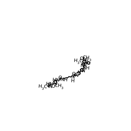 CC(=O)c1c(C)c2cnc(Nc3ccc(N4CCN(CC(=O)NCCCCCCCNC(=O)CNc5ccc(C(=O)Nc6ncc(C)s6)c(C)c5)CC4)cn3)nc2n(C2CCCC2)c1=O